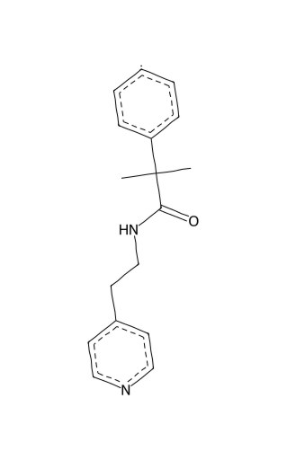 CC(C)(C(=O)NCCc1ccncc1)c1cc[c]cc1